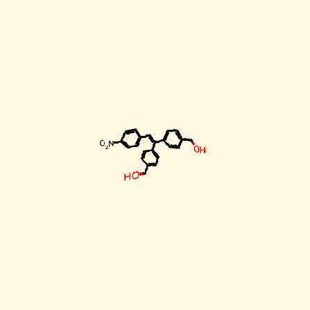 O=[N+]([O-])c1ccc(C=C(c2ccc(CO)cc2)c2ccc(CO)cc2)cc1